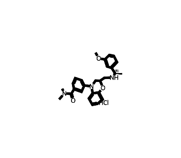 COc1cccc([C@@H](C)NCC2CN(c3cccc(C(=O)N(C)C)c3)c3ccccc3O2)c1.Cl